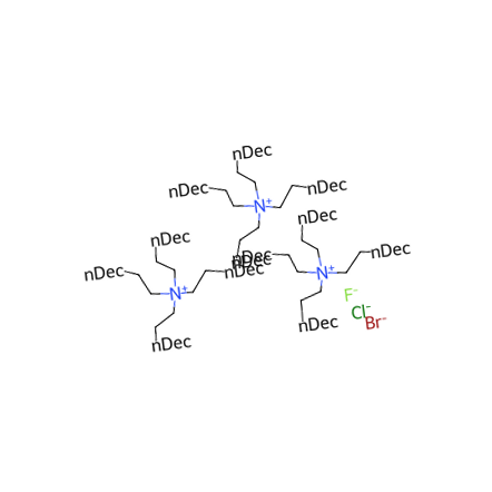 CCCCCCCCCCCC[N+](CCCCCCCCCCCC)(CCCCCCCCCCCC)CCCCCCCCCCCC.CCCCCCCCCCCC[N+](CCCCCCCCCCCC)(CCCCCCCCCCCC)CCCCCCCCCCCC.CCCCCCCCCCCC[N+](CCCCCCCCCCCC)(CCCCCCCCCCCC)CCCCCCCCCCCC.[Br-].[Cl-].[F-]